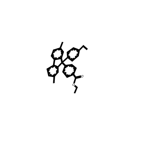 CCOC(=O)c1ccc(C2(c3ccc(CC)cc3)c3cc(C)ccc3-c3ccc(C)cc32)cc1